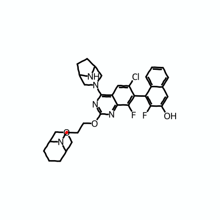 Oc1cc2ccccc2c(-c2c(Cl)cc3c(N4CC5CCC(C4)N5)nc(OCCCN4C5CCCC4COC5)nc3c2F)c1F